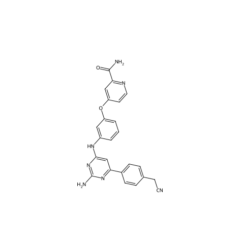 N#CCc1ccc(-c2cc(Nc3cccc(Oc4ccnc(C(N)=O)c4)c3)nc(N)n2)cc1